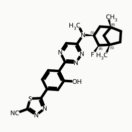 CN(c1cnc(-c2ccc(-c3nnc(C#N)s3)cc2O)nn1)[C@H]1C[C@]2(C)CC[C@@](C)(C2)[C@H]1F